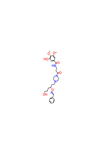 COc1cc(C(=O)NCCC(=O)N2CCN(CCC(CCCO)O/N=C/c3ccccc3)CC2)cc(O)c1OC